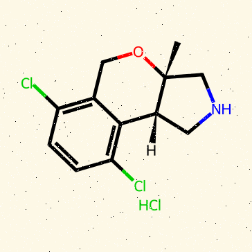 C[C@@]12CNC[C@@H]1c1c(Cl)ccc(Cl)c1CO2.Cl